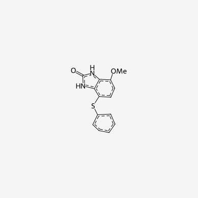 COc1ccc(Sc2ccccc2)c2[nH]c(=O)[nH]c12